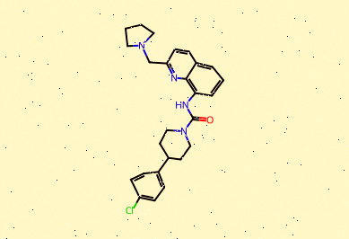 O=C(Nc1cccc2ccc(CN3CCCC3)nc12)N1CCC(c2ccc(Cl)cc2)CC1